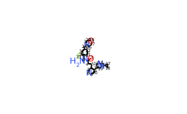 NN(C(=O)/C=C/c1cnccc1-c1cnn(C2CC2)c1)c1ccc(CN2CCOCC2)cc1F